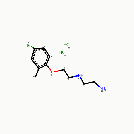 Cc1cc(Br)ccc1OCCNCCN.Cl.Cl